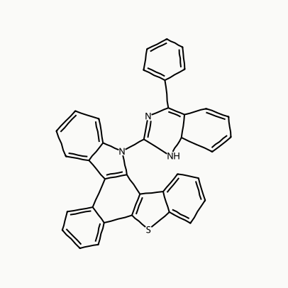 C1=CC2=C(c3ccccc3)N=C(n3c4ccccc4c4c5ccccc5c5sc6ccccc6c5c43)NC2C=C1